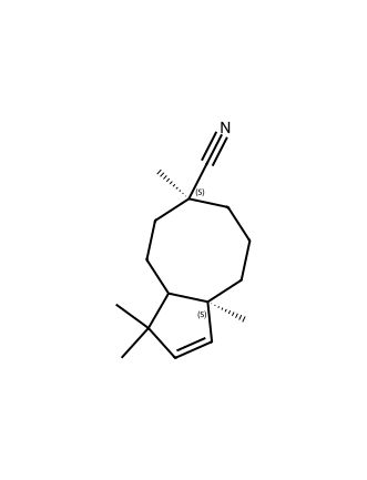 CC1(C)C=C[C@]2(C)CCC[C@](C)(C#N)CCC12